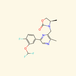 Cc1ncc(-c2ccc(F)c(OC(F)F)c2)nc1CN1C(=O)OC[C@H]1C